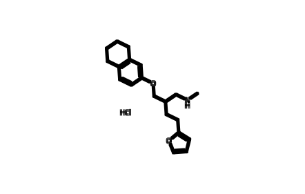 CNCC(CCc1ccco1)COc1ccc2c(c1)CCCC2.Cl